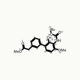 COC(=O)Cc1cccc(-c2ccc(OC)c(NC(=O)OC(C)(C)C)c2C)c1